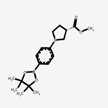 COC(=O)[C@H]1CCN(c2ccc(B3OC(C)(C)C(C)(C)O3)cc2)C1